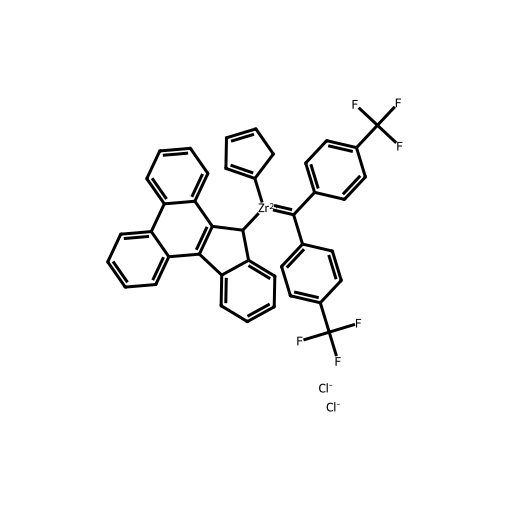 FC(F)(F)c1ccc([C](c2ccc(C(F)(F)F)cc2)=[Zr+2]([C]2=CC=CC2)[CH]2c3ccccc3-c3c2c2ccccc2c2ccccc32)cc1.[Cl-].[Cl-]